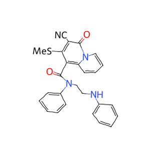 CSc1c(C#N)c(=O)n2ccccc2c1C(=O)N(CCNc1ccccc1)c1ccccc1